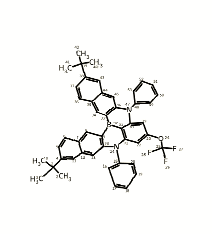 CC(C)(C)c1ccc2cc3c(cc2c1)N(c1ccccc1)c1cc(OC(F)(F)F)cc2c1B3c1cc3ccc(C(C)(C)C)cc3cc1N2c1ccccc1